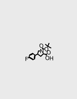 CC(C)(C)OC(=O)N1CC(c2ccc(F)cc2)CC1C(=O)O